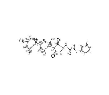 Cc1cccc(CNC(=O)CC2CC(=O)C(c3c(C)cc(-c4ncc(Cl)cc4F)cc3C)C2=O)c1